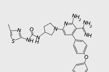 Cc1csc(NC(=O)NC2CCN(c3cc(-c4ccc(Oc5ccccc5)cc4)c(C(=N)N)c(N)n3)C2)n1